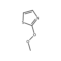 COOc1nccs1